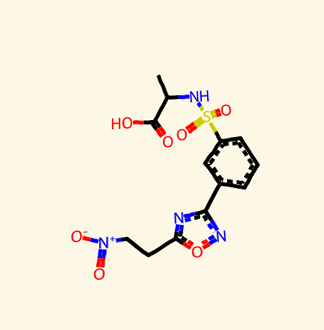 CC(NS(=O)(=O)c1cccc(-c2noc(CC[N+](=O)[O-])n2)c1)C(=O)O